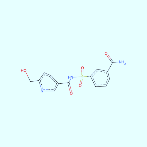 NC(=O)c1cccc(S(=O)(=O)NC(=O)c2ccc(CO)nc2)c1